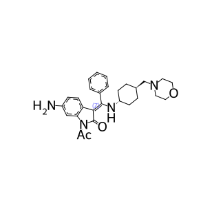 CC(=O)N1C(=O)/C(=C(\N[C@H]2CC[C@H](CN3CCOCC3)CC2)c2ccccc2)c2ccc(N)cc21